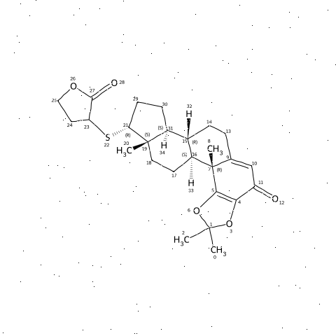 CC1(C)OC2=C(O1)[C@@]1(C)C(=CC2=O)CC[C@@H]2[C@@H]1CC[C@]1(C)[C@H](SC3CCOC3=O)CC[C@@H]21